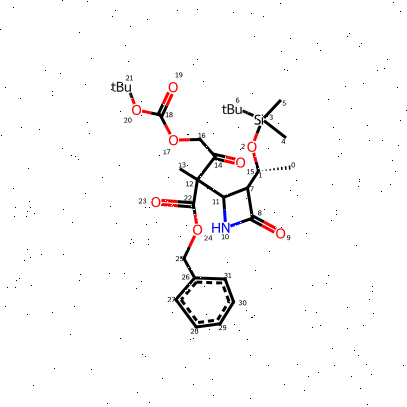 C[C@@H](O[Si](C)(C)C(C)(C)C)C1C(=O)NC1C(C)(C(=O)COC(=O)OC(C)(C)C)C(=O)OCc1ccccc1